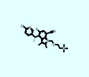 Cc1c(C)n(COCC[Si](C)(C)C)c2c(C#N)cc(F)c([C@H](C)c3ccc(Cl)nc3)c12